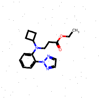 CCOC(=O)CCN(c1ccccc1-n1nccn1)C1CCC1